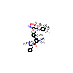 COc1c(-c2cc(C(=O)N[C@@H](Cc3ccccc3)CN(C)C)cc(N(C)C)c2)ccc(F)c1CN1O[C@@H](CN)[C@@H]([C@H](C)O)[C@H]1C(=O)N[C@H]1C[C@@H](C)C(C)(C)[C@@H](C)[C@@H]1C